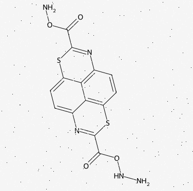 NNOC(=O)C1=Nc2ccc3c4c(ccc(c24)S1)N=C(C(=O)ON)S3